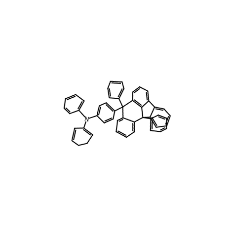 C1=CC(N(c2ccccc2)c2ccc(C3(c4ccccc4)c4ccccc4C4(c5ccccc5)c5ccccc5-c5cccc3c54)cc2)=CCC1